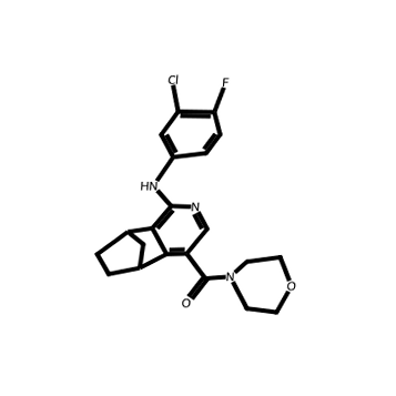 O=C(c1cnc(Nc2ccc(F)c(Cl)c2)c2c1C1CCC2C1)N1CCOCC1